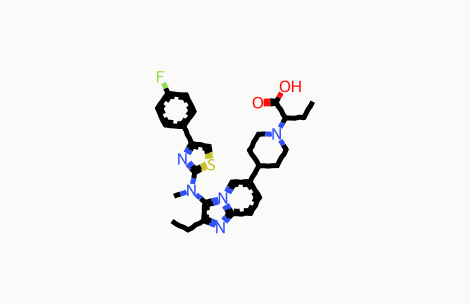 CCc1nc2ccc(C3CCN(C(CC)C(=O)O)CC3)cn2c1N(C)c1nc(-c2ccc(F)cc2)cs1